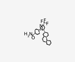 NC(=O)c1ccc(-n2nc(C(F)(F)F)cc2-c2ccc3c(ccc4ccccc43)c2)cc1